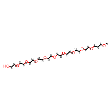 COCCCOCCOCCOCCOCCOCCOCCOCCOCCOCCO